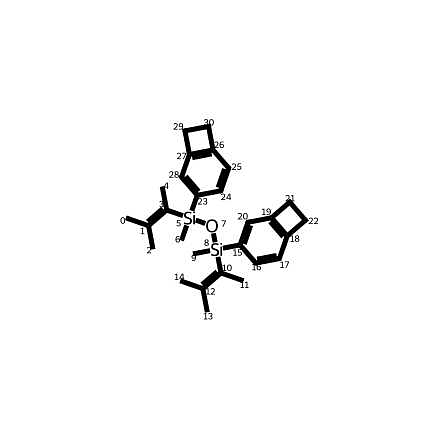 CC(C)=C(C)[Si](C)(O[Si](C)(C(C)=C(C)C)c1ccc2c(c1)CC2)c1ccc2c(c1)CC2